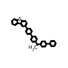 C=C(c1ccc(-c2ccccc2)cc1)c1ccc(-c2ccc(-c3ccc4sc5ccccc5c4c3)cc2)cc1